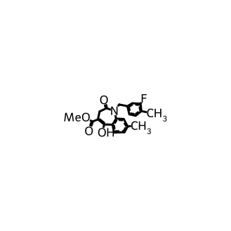 COC(=O)C1=C(O)c2ccc(C)cc2N(Cc2ccc(C)c(F)c2)C(=O)C1